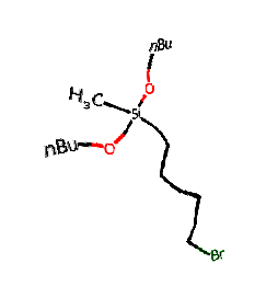 CCCCO[Si](C)(CCCCBr)OCCCC